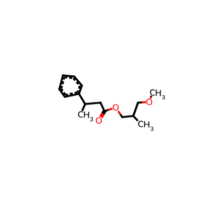 COCC(C)COC(=O)CC(C)c1ccccc1